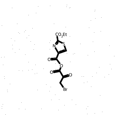 CCOC(=O)c1nc(C(=O)OC(=O)C(=O)CBr)cs1